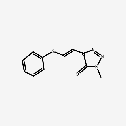 Cn1nnn(/C=C/Sc2ccccc2)c1=O